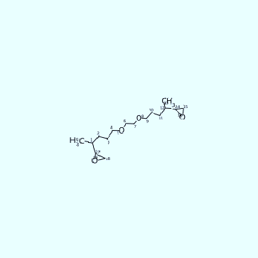 CC(CCCOCCOCCCC(C)C1CO1)C1CO1